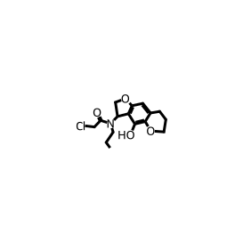 CCCN(C(=O)CCl)C1COc2cc3c(c(O)c21)OCCC3